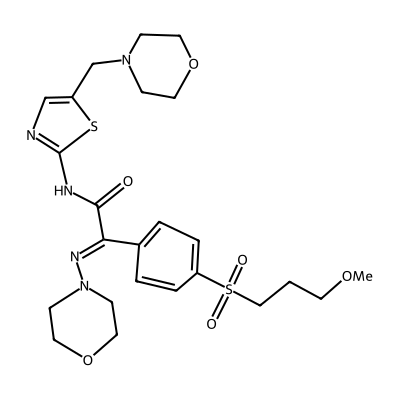 COCCCS(=O)(=O)c1ccc(/C(=N\N2CCOCC2)C(=O)Nc2ncc(CN3CCOCC3)s2)cc1